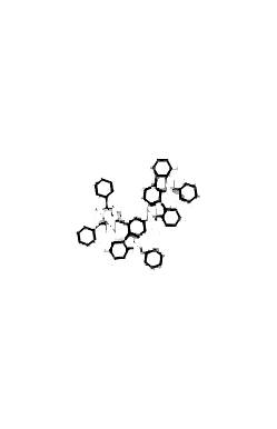 c1ccc(-c2nc(-c3ccccc3)nc(-c3cc(-n4c5ccccc5c5c4ccc4c6ccccc6n(-c6ccccc6)c45)cc4c3c3ccccc3n4-c3ccccc3)n2)cc1